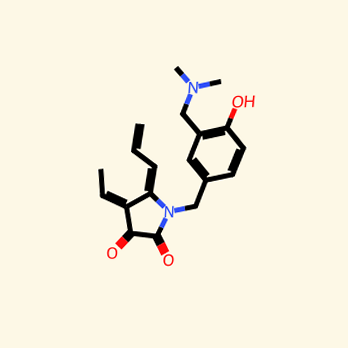 C=C/C=C1\C(=C/C)C(=O)C(=O)N1Cc1ccc(O)c(CN(C)C)c1